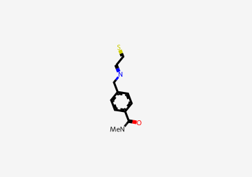 CNC(=O)c1ccc(CN=CC=S)cc1